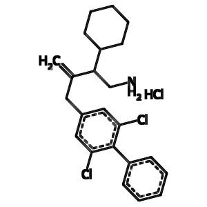 C=C(Cc1cc(Cl)c(-c2ccccc2)c(Cl)c1)C(CN)C1CCCCC1.Cl